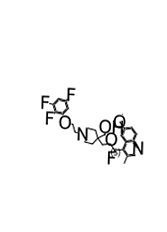 COc1ccc2ncc(C)c([C@@H](F)CCC3(C(=O)O)CCN(CCOc4cc(F)cc(F)c4F)CC3)c2c1